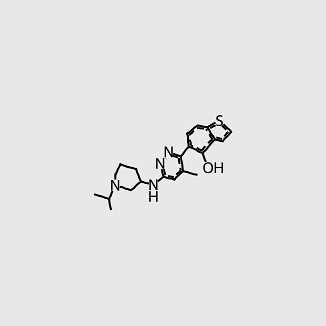 Cc1cc(NC2CCCN(C(C)C)C2)nnc1-c1ccc2sccc2c1O